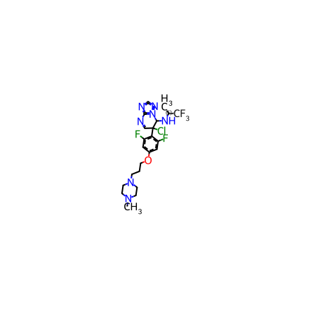 C[C@H](NC1n2ncnc2N=CC1(Cl)c1c(F)cc(OCCCN2CCN(C)CC2)cc1F)C(F)(F)F